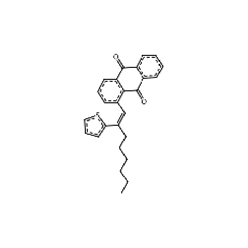 CCCCCCC(=Cc1cccc2c1C(=O)c1ccccc1C2=O)c1cccs1